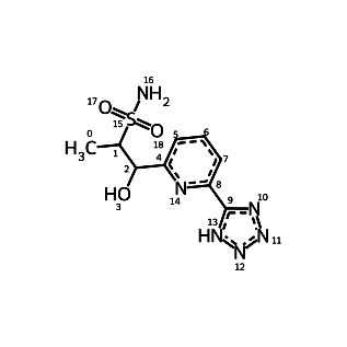 CC(C(O)c1cccc(-c2nnn[nH]2)n1)S(N)(=O)=O